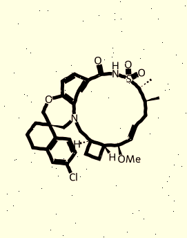 CO[C@@H]1/C=C/C[C@H](C)[C@@H](C)S(=O)(=O)NC(=O)c2ccc3c(c2)N(C[C@@H]2CC[C@H]21)C[C@@]1(CCCc2cc(Cl)ccc21)CO3